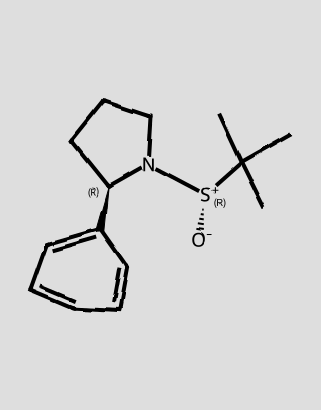 CC(C)(C)[S@+]([O-])N1CCC[C@@H]1c1ccccc1